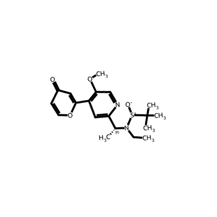 CCN([C@H](C)c1cc(-c2cc(=O)cco2)c(OC)cn1)[S+]([O-])C(C)(C)C